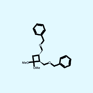 COC1(OC)C[C@H](COCc2ccccc2)[C@H]1COCc1ccccc1